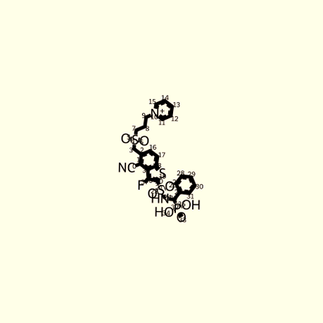 N#Cc1c(CS(=O)(=O)CCC[n+]2ccccc2)ccc2sc(S(=O)(=O)NC(c3ccccc3)P(=O)(O)O)c(F)c12